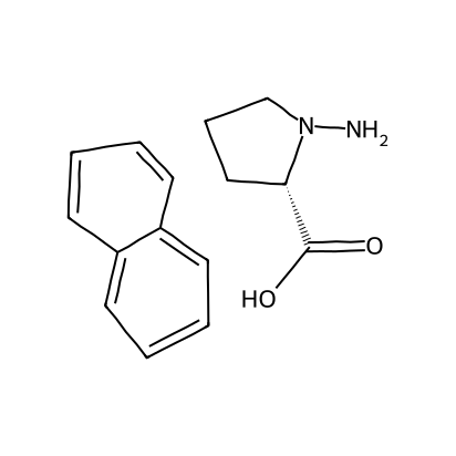 NN1CCC[C@H]1C(=O)O.c1ccc2ccccc2c1